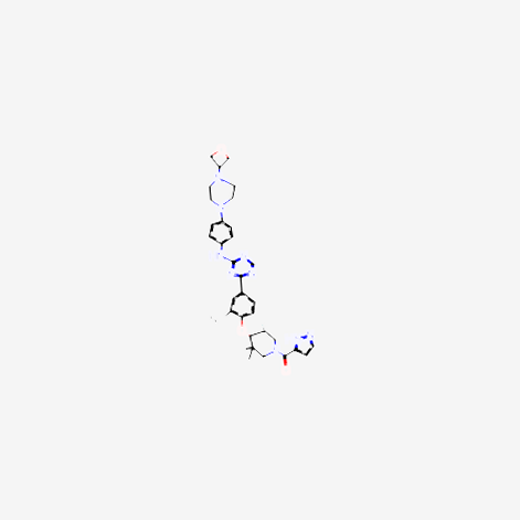 CC1(C)CN(C(=O)c2ccn[nH]2)C[C@H](F)[C@H]1Oc1ccc(-c2ncnc(Nc3ccc(N4CCN(C5COC5)CC4)cc3)n2)cc1C#N